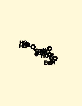 CCOc1nc2cccc(C(=O)O)c2n1Cc1ccc(-c2ccccc2-c2nnn(C(C)OC(=O)OCc3cccc(CON(O)O)c3)n2)cc1